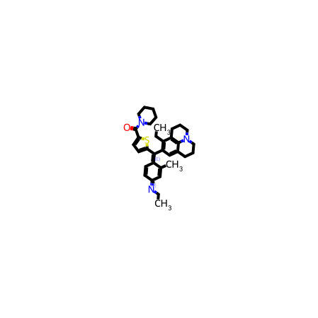 CC/N=C1C=C/C(=C(\c2ccc(C(=O)N3CCCCC3)s2)c2cc3c4c(c2CC)CCCN4CCC3)C(C)=C/1